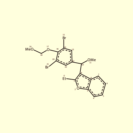 CCc1oc2ccccc2c1C(OC)c1cc(Br)c(OCOC)c(Br)c1